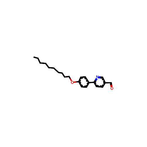 CCCCCCCCCCOc1ccc(-c2ccc(C=O)cn2)cc1